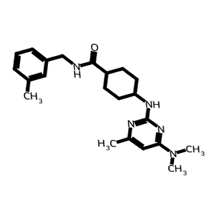 Cc1cccc(CNC(=O)C2CCC(Nc3nc(C)cc(N(C)C)n3)CC2)c1